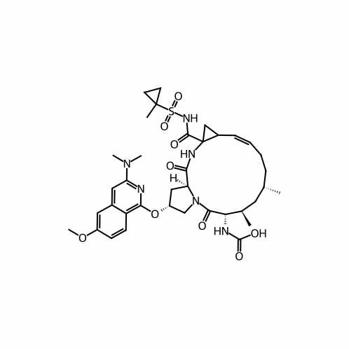 COc1ccc2c(O[C@@H]3C[C@H]4C(=O)NC5(C(=O)NS(=O)(=O)C6(C)CC6)CC5/C=C\CC[C@H](C)C[C@@H](C)[C@H](NC(=O)O)C(=O)N4C3)nc(N(C)C)cc2c1